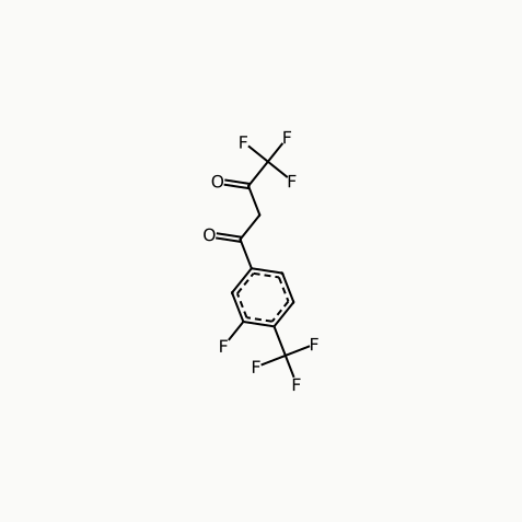 O=C(CC(=O)C(F)(F)F)c1ccc(C(F)(F)F)c(F)c1